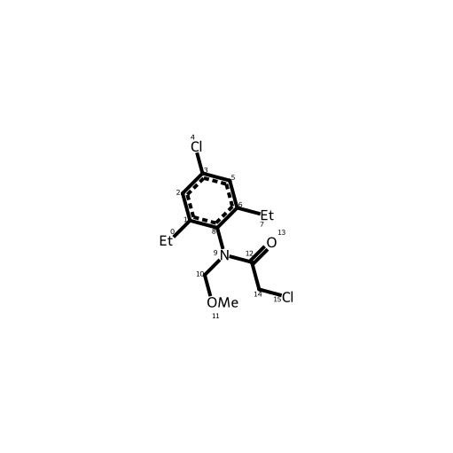 CCc1cc(Cl)cc(CC)c1N(COC)C(=O)CCl